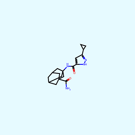 NC(=O)C12CC3CC(CC(NC(=O)c4cc(C5CC5)n[nH]4)(C3)C1)C2